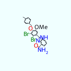 COc1cc(-c2nc3c(C(N)=O)cccc3[nH]2)c(Br)c(Br)c1OCc1ccc(C)cc1